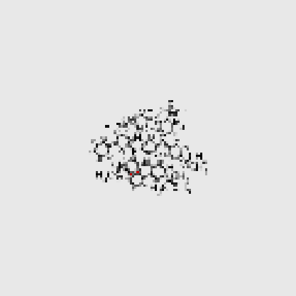 CC(C)(C)c1ccc(N(c2ccc(C(C)(C)C)cc2)c2cc3c4c(c2)N2c5ccccc5[Si](C)(C)c5cc(-c6ccccc6)cc(c52)B4c2cc(C(C)(C)C)ccc2N3c2ccc(C(C)(C)C)cc2-c2ccccc2)cc1